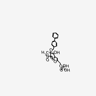 C[C@@](OCc1ccc(-c2ccccc2)cc1)(C(=O)N=O)[C@@H](O)c1cc(COP(=O)(O)O)on1